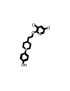 Oc1ccc(N2CCC(CCOc3ncc(Cl)cc3Cl)CC2)cc1